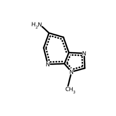 Cn1cnc2cc(N)cnc21